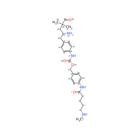 CNCCCCC(=O)Nc1ccc(COC(=O)Nc2ccc(CC(N)CC(C)(C)C=O)cc2)cc1